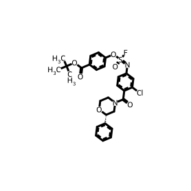 CC(C)(C)OC(=O)c1ccc(OS(=O)(F)=Nc2ccc(C(=O)N3CCO[C@@H](c4ccccc4)C3)c(Cl)c2)cc1